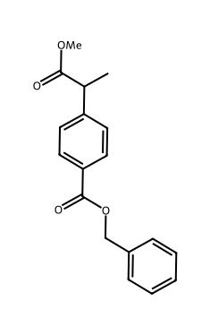 COC(=O)C(C)c1ccc(C(=O)OCc2ccccc2)cc1